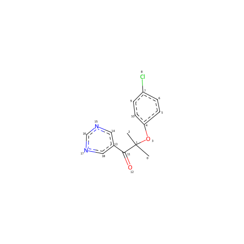 CC(C)(Oc1ccc(Cl)cc1)C(=O)c1cncnc1